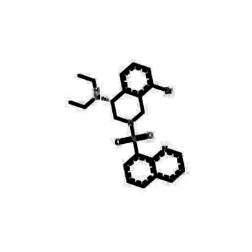 CC[SiH](CC)[C@H]1CN(S(=O)(=O)c2cccc3cccnc23)Cc2c(Br)cccc21